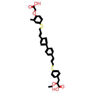 CCOC(Cc1ccc(SCC=Cc2ccc(-c3ccc(C=CCSc4ccc(OCC(=O)O)c(C)c4)cc3)cc2)cc1)C(=O)O